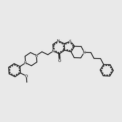 COc1ccccc1N1CCN(CCn2cnc3sc4c(c3c2=O)CCN(CCCc2ccccc2)C4)CC1